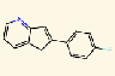 Fc1ccc(C2=Cc3ncccc3C2)cc1